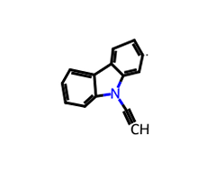 C#Cn1c2c[c]ccc2c2ccccc21